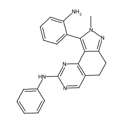 Cn1nc2c(c1-c1ccccc1N)-c1nc(Nc3ccccc3)ncc1CC2